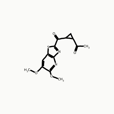 COc1cc2sc(C(=O)C3CC3C(C)=O)nc2nc1OC